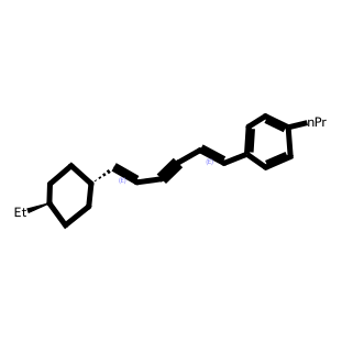 CCCc1ccc(/C=C/C#C/C=C/[C@H]2CC[C@H](CC)CC2)cc1